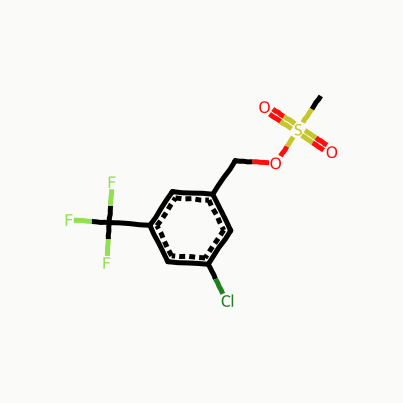 CS(=O)(=O)OCc1cc(Cl)cc(C(F)(F)F)c1